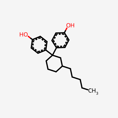 CCCCCC1CCCC(c2ccc(O)cc2)(c2ccc(O)cc2)C1